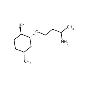 CC(N)CCO[C@@H]1C[C@H](C)CC[C@H]1C(C)C